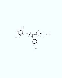 Cc1cc(OCc2nc(-c3cnc(OC(C)C)nc3)c(-c3ccc(OC(F)(F)F)cc3)o2)c(C)cc1O